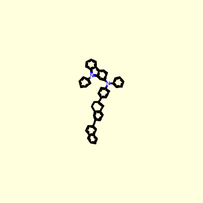 C1=C(c2ccc(N(c3ccccc3)c3ccc4c5ccccc5n(-c5ccccc5)c4c3)cc2)CCc2cc(-c3ccc4ccccc4c3)ccc21